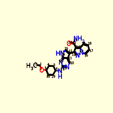 CCO[C@H]1CC[C@@H](Nc2ncc3c(-c4nn5ccccc5c4C(N)=O)c[nH]c3n2)CC1